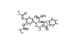 CCC(=O)Oc1ccc(C(CC(C)OC(=O)c2ccccc2)[C@H](N)C(=O)O)cc1OC(=O)CC